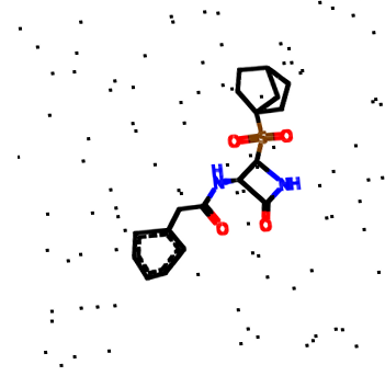 O=C(Cc1ccccc1)N[C@@H]1C(=O)NC1S(=O)(=O)C12CCC(CC1)C2